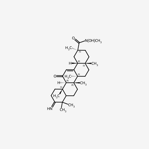 CN(O)C(=O)[C@@]1(C)CC[C@]2(C)CC[C@]3(C)C(=CC(=O)[C@@H]4[C@@]5(C)CCC(=N)C(C)(C)C5CC[C@]43C)[C@@H]2C1